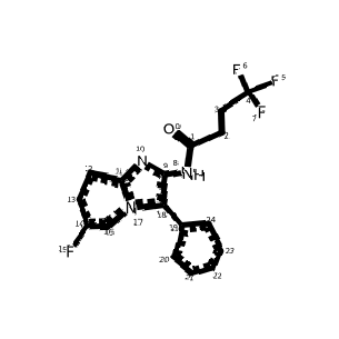 O=C(CCC(F)(F)F)Nc1nc2ccc(F)cn2c1-c1ccccc1